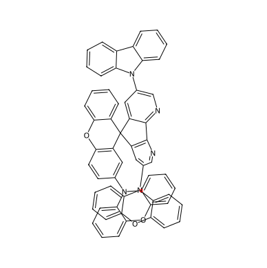 c1ccc2c(c1)Oc1ccccc1N2c1ccc2c(c1)C1(c3ccccc3O2)c2cc(N3c4ccccc4Oc4ccccc43)cnc2-c2ncc(-n3c4ccccc4c4ccccc43)cc21